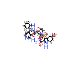 NC(=O)c1[nH]c2ccc(Br)cc2c1S(=O)(=O)N1CCOC(C(=O)NC(c2ccccc2)c2ccncc2)C1